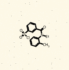 CCN(C(=O)c1cccc(S(=O)(=O)Cl)c1)c1ccccc1C